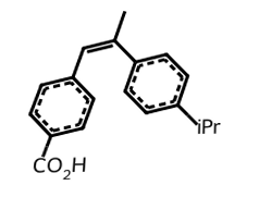 CC(=Cc1ccc(C(=O)O)cc1)c1ccc(C(C)C)cc1